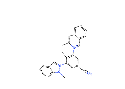 Cc1c(-[n+]2cc3ccccc3cc2C)cc(C#N)cc1-[n+]1cc2ccccc2n1C